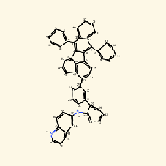 c1ccc(-c2c3c(c(-c4ccccc4)c4ccccc24)-c2ccc(-c4ccc5c(c4)c4ccccc4n5-c4ccc5ncccc5c4)c4cccc-3c24)cc1